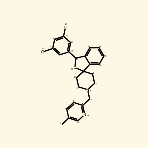 Cc1ccc(CN2CCC3(CC2)OC(c2cc(Cl)cc(Cl)c2)c2ccccc23)nc1